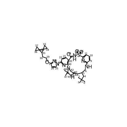 CC(C)(C)CC1CNc2cccc(n2)S(=O)(=O)NC(=O)c2ccc(-n3ccc(OCCC4C5(CC5)C45CC5)n3)nc2N2C[C@@H](C1)CC2(C)C